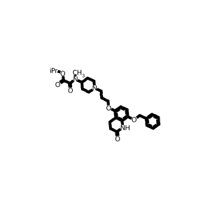 CC(C)OC(=O)C(=O)N(C)C1CCN(CCCOc2ccc(OCc3ccccc3)c3c2CCC(=O)N3)CC1